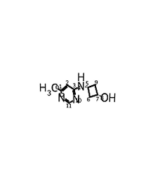 Cc1cc(N[C@H]2C[C@@H](O)C2)ncn1